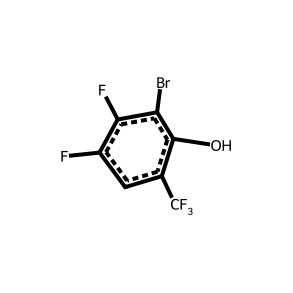 Oc1c(C(F)(F)F)cc(F)c(F)c1Br